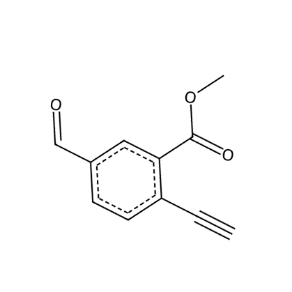 C#Cc1ccc(C=O)cc1C(=O)OC